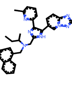 CCC(C)N(Cc1nc(-c2cccc(C)n2)c(-c2ccc3ncnn3c2)[nH]1)Cc1cccc2ccccc12